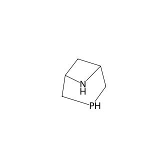 C1PCC2CC1N2